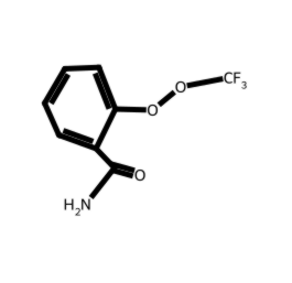 NC(=O)c1ccccc1OOC(F)(F)F